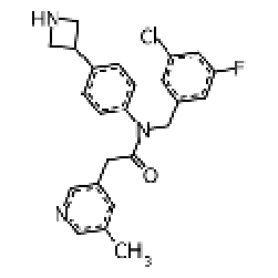 Cc1cncc(CC(=O)N(Cc2cc(F)cc(Cl)c2)c2ccc(C3CNC3)cc2)c1